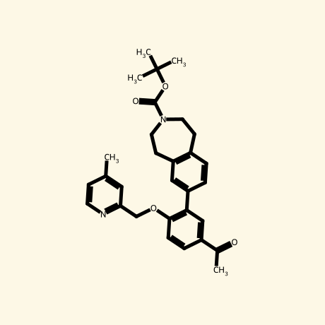 CC(=O)c1ccc(OCc2cc(C)ccn2)c(-c2ccc3c(c2)CCN(C(=O)OC(C)(C)C)CC3)c1